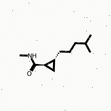 CNC(=O)[C@@H]1C[C@H]1CCCC(C)C